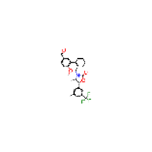 COc1ccc(C=O)cc1C1=C(CN2C(=O)O[C@H](c3cc(C)cc(C(F)(F)F)c3)[C@@H]2C)CCCC1